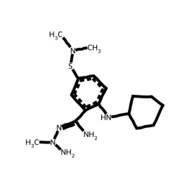 CN(N)/N=C(\N)c1cc(SN(C)C)ccc1NC1CCCCC1